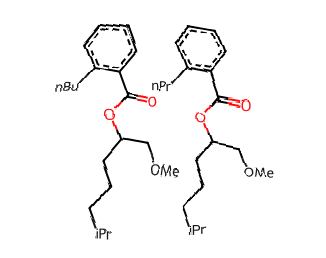 CCCCc1ccccc1C(=O)OC(CCCC(C)C)COC.CCCc1ccccc1C(=O)OC(CCCC(C)C)COC